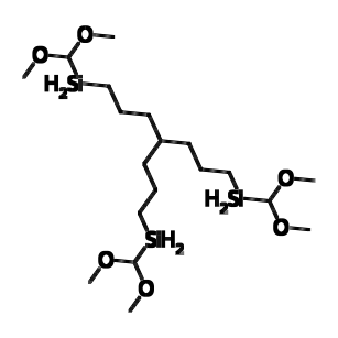 COC(OC)[SiH2]CCCC(CCC[SiH2]C(OC)OC)CCC[SiH2]C(OC)OC